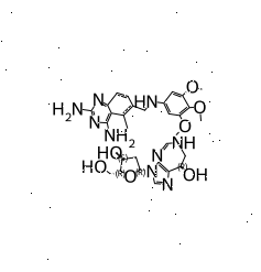 COc1cc(NCc2ccc3nc(N)nc(N)c3c2C)cc(OC)c1OC.OC[C@H]1O[C@@H](n2cnc3c2N=CNC[C@H]3O)C[C@@H]1O